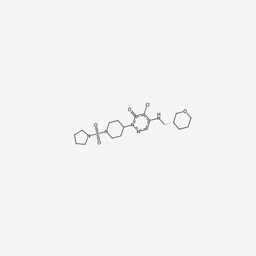 O=c1c(Cl)c(NC[C@H]2CCCOC2)cnn1C1CCN(S(=O)(=O)N2CCCC2)CC1